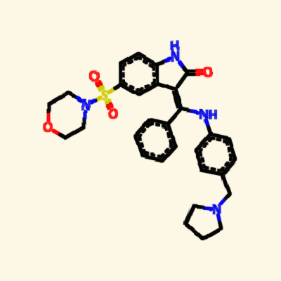 O=C1Nc2ccc(S(=O)(=O)N3CCOCC3)cc2/C1=C(/Nc1ccc(CN2CCCC2)cc1)c1ccccc1